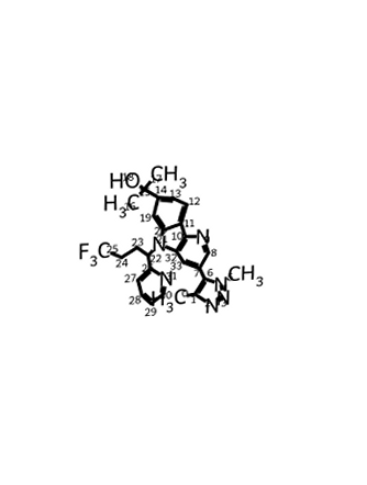 Cc1nnn(C)c1-c1cnc2c3ccc(C(C)(C)O)cc3n(C(CCC(F)(F)F)c3ccccn3)c2c1